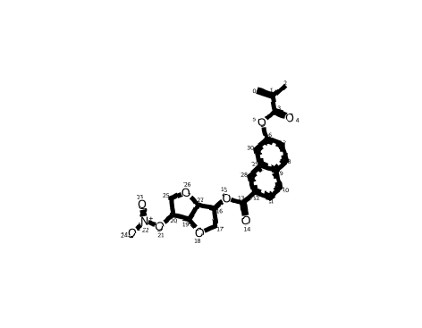 C=C(C)C(=O)Oc1ccc2ccc(C(=O)OC3COC4C(O[N+](=O)[O-])COC34)cc2c1